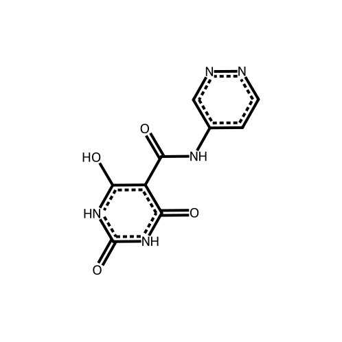 O=C(Nc1ccnnc1)c1c(O)[nH]c(=O)[nH]c1=O